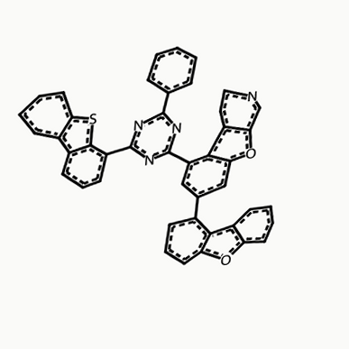 c1ccc(-c2nc(-c3cccc4c3sc3ccccc34)nc(-c3cc(-c4cccc5oc6ccccc6c45)cc4oc5cnccc5c34)n2)cc1